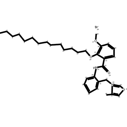 CCCCCCCCCCCCCCOc1c(OC)cccc1C(=O)Nc1ccccc1C[n+]1cscc1C.[Br-]